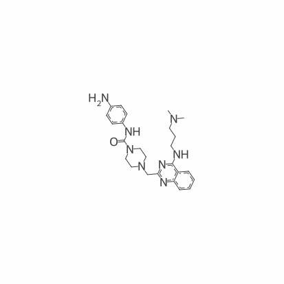 CN(C)CCCNc1nc(CN2CCN(C(=O)Nc3ccc(N)cc3)CC2)nc2ccccc12